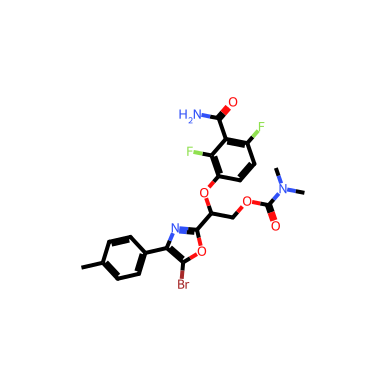 Cc1ccc(-c2nc(C(COC(=O)N(C)C)Oc3ccc(F)c(C(N)=O)c3F)oc2Br)cc1